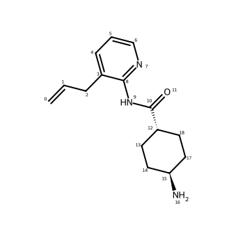 C=CCc1cccnc1NC(=O)[C@H]1CC[C@H](N)CC1